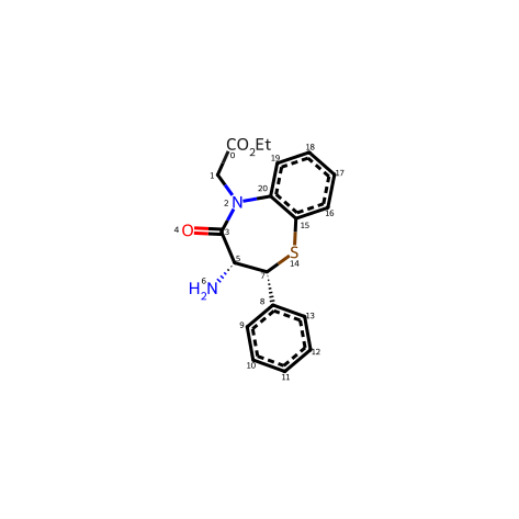 CCOC(=O)CN1C(=O)[C@@H](N)[C@@H](c2ccccc2)Sc2ccccc21